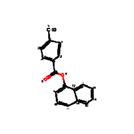 O=Cc1ccc(C(=O)Oc2cccc3ccccc23)cc1